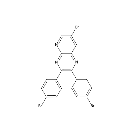 Brc1ccc(-c2nc3cc(Br)cnc3nc2-c2ccc(Br)cc2)cc1